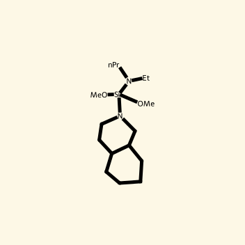 CCCN(CC)[Si](OC)(OC)N1CCC2CCCCC2C1